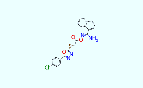 NC(=NOC(=O)CSc1nnc(-c2ccc(Cl)cc2)o1)c1cccc2ccccc12